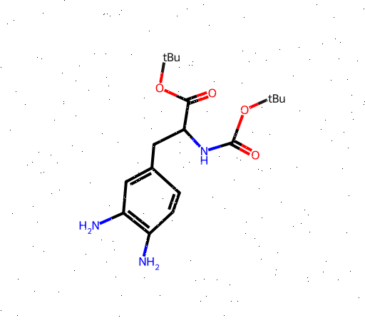 CC(C)(C)OC(=O)NC(Cc1ccc(N)c(N)c1)C(=O)OC(C)(C)C